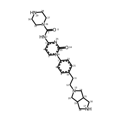 O=C(Nc1ccn(-c2ccc(CCN3CC4CNCC4C3)cc2)c(=O)n1)N1CCNCC1